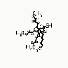 CCCCCCC1(CCCCCC)N=C(S)OC1(CCCCCC)CCCCCC